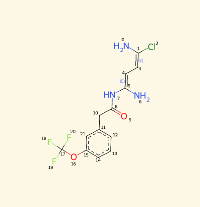 N/C(Cl)=C\C=C(/N)NC(=O)Cc1cccc(OC(F)(F)F)c1